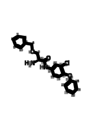 N[C@@H](COCc1ccccc1)C(=O)Nc1ccc(Oc2ccccc2)c(Cl)c1